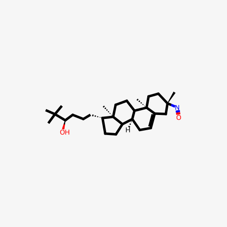 CC(C)(C)[C@H](O)CCC[C@H]1CCC2[C@@H]3CC=C4C[C@@](C)(N=O)CC[C@]4(C)C3CC[C@@]21C